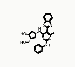 Cc1nc(Nc2ccccc2)nc(N[C@@H]2C[C@H](CO)[C@@H](O)C2)c1-c1nc2ccccc2s1